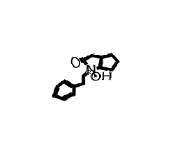 O=C1CC2CCCC2[N@+]1(O)CCc1ccccc1